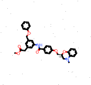 COC(=O)Cc1cc(COc2ccccc2)cc(NC(=O)c2ccc(OC[C@@H]3CN(C)c4ccccc4O3)cc2)c1